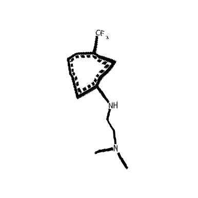 CN(C)CCNc1cccc(C(F)(F)F)c1